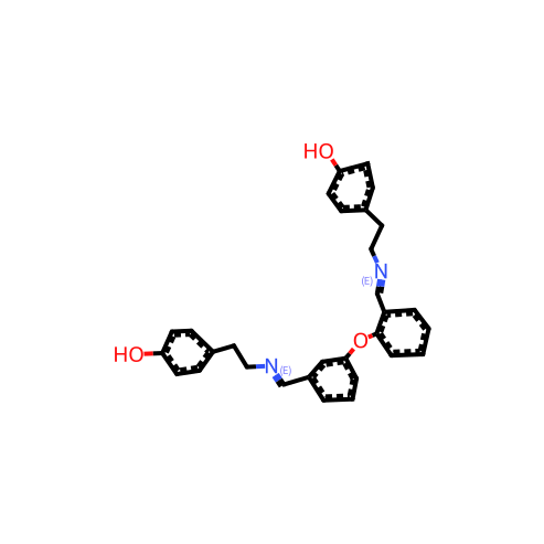 Oc1ccc(CC/N=C/c2cccc(Oc3ccccc3/C=N/CCc3ccc(O)cc3)c2)cc1